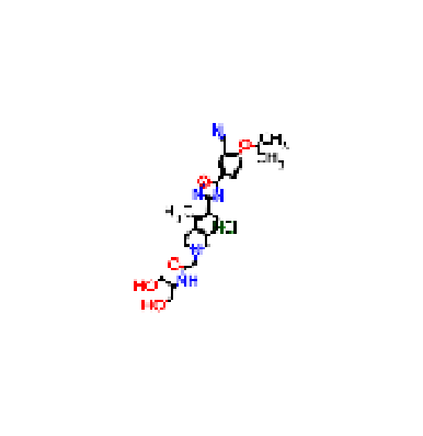 Cc1c(-c2noc(-c3ccc(OC(C)C)c(C#N)c3)n2)ccc2c1CCN(CC(=O)NC(CO)CO)C2.Cl